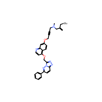 C=C(CN(C)CC#CCOc1ccc2c(OCc3nnc4ccc(-c5ccccc5)nn34)ccnc2c1)CC(C)(C)C